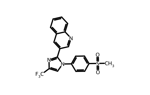 CS(=O)(=O)c1ccc(-n2cc(C(F)(F)F)nc2-c2cnc3ccccc3c2)cc1